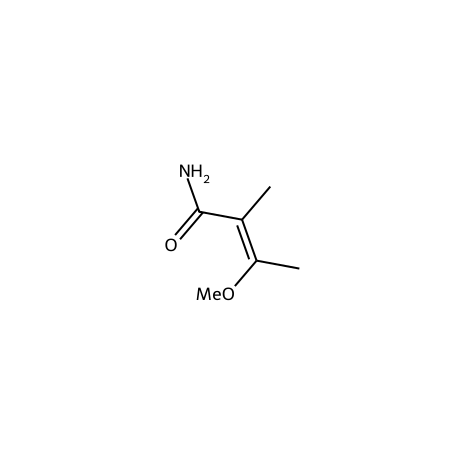 COC(C)=C(C)C(N)=O